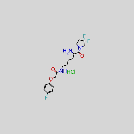 Cl.NC(CCCCNC(=O)COc1ccc(F)cc1)C(=O)N1CCC(F)(F)C1